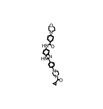 O=C(Nc1ccc2[nH]c(-c3ccc(N4CCN(C(=O)C5CC5)CC4)cc3)nc2c1)c1ccc(N2CCOCC2)cc1